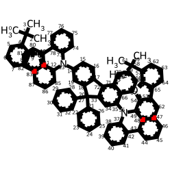 CC(C)(C)c1cccc2c1oc1c(N(c3ccc4c(c3)C(c3ccccc3)(c3ccccc3)c3cc(N(c5ccccc5-c5ccccc5)c5cccc6c5oc5c(C(C)(C)C)cccc56)c5ccccc5c3-4)c3ccccc3-c3ccccc3)cccc12